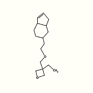 CCC1(COCCC2CCC3C=CCC3C2)COC1